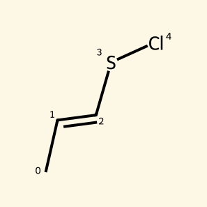 CC=CSCl